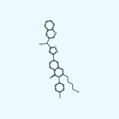 CC(=O)CCCCc1nc2cc(-c3cc(C(O)c4cnc5ccccc5c4)on3)ccc2c(=O)n1-c1ccc(F)cc1